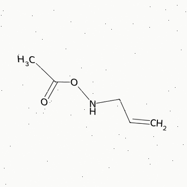 C=CCNOC(C)=O